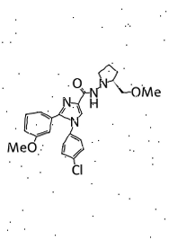 COC[C@@H]1CCCN1NC(=O)c1cn(-c2ccc(Cl)cc2)c(-c2cccc(OC)c2)n1